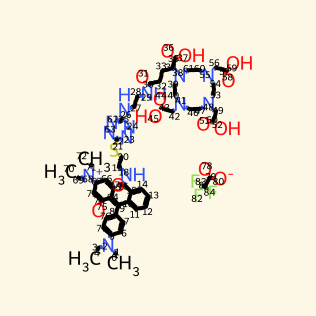 CCN(CC)c1ccc2c(-c3ccccc3C(=O)NCCSc3nnc(NCCNC(=O)CCC(C(=O)O)N4CCN(CC(=O)O)CCN(CC(=O)O)CCN(CC(=O)O)CC4)nn3)c3ccc(=[N+](CC)CC)cc-3oc2c1.O=C([O-])C(F)(F)F